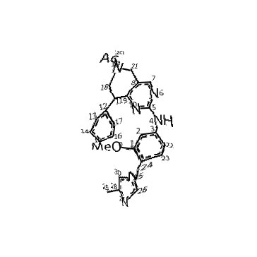 COc1cc(Nc2ncc3c(n2)C(c2ccccc2)CN(C(C)=O)C3)ccc1-n1cnc(C)c1